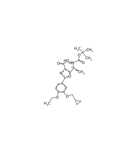 CCOc1ccc(-c2nc(C(=O)O)c([C@H](C)NC(=O)OC(C)(C)C)o2)cc1OCC1CC1